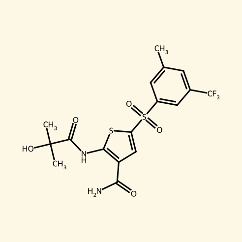 Cc1cc(C(F)(F)F)cc(S(=O)(=O)c2cc(C(N)=O)c(NC(=O)C(C)(C)O)s2)c1